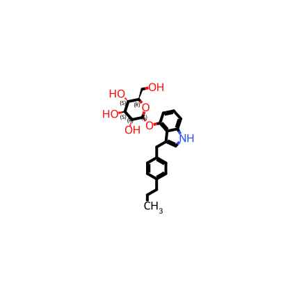 CCCc1ccc(Cc2c[nH]c3cccc(O[C@@H]4O[C@H](CO)[C@@H](O)[C@H](O)[C@H]4O)c23)cc1